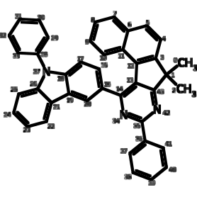 CC1(C)c2ccc3ccccc3c2-c2c(-c3ccc4c(c3)c3ccccc3n4-c3ccccc3)nc(-c3ccccc3)nc21